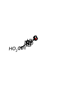 O=C(O)NCCCNc1nccc(C(=O)NCC23CC4CC(CC(C4)C2)C3)c1Cl